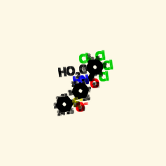 O=C(O)c1c(Cl)c(Cl)c(Cl)c(Cl)c1C(=O)Nc1ccc([S+]([O-])c2ccccc2)cc1